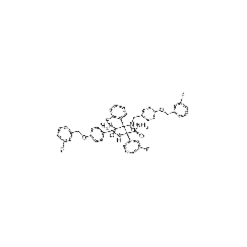 NC(=O)C(NCc1ccc(OCc2cccc(F)c2)cc1)(c1cccc(F)c1)C(NCc1ccc(OCc2cccc(F)c2)cc1)(C(N)=O)c1ccccc1F